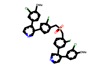 COc1ccc(-c2ccncc2-c2ccc(CS(=O)(=O)Cc3ccc(-c4cnccc4-c4ccc(OC)c(Cl)c4)cc3F)c(F)c2)cc1Cl